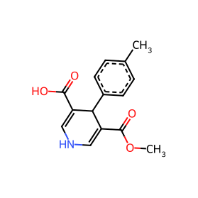 COC(=O)C1=CNC=C(C(=O)O)C1c1ccc(C)cc1